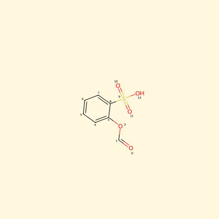 O=COc1ccccc1S(=O)(=O)O